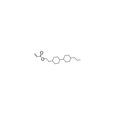 C=CC(=O)OCCC1CCC(C2CCC(CCC)CC2)CC1